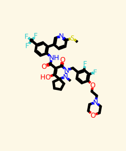 CSc1ccc(-c2cc(C(F)(F)F)ccc2NC(=O)C2=C(O)C3(CCCC3)N(C)N(Cc3ccc(OCCN4CCOCC4)c(F)c3F)C2=O)cn1